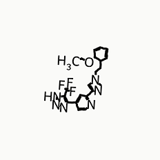 CCOC1C=CC=CC1CCn1cnc(-c2cc(-c3nn[nH]c3C(F)(F)F)ccn2)c1